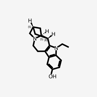 CCn1c2c(c3cc(O)ccc31)CCN1C[C@H]3C[C@@H]2[C@@H]1C3